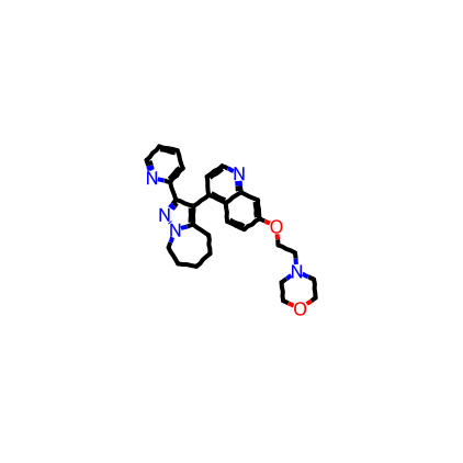 c1ccc(-c2nn3c(c2-c2ccnc4cc(OCCN5CCOCC5)ccc24)CCCCC3)nc1